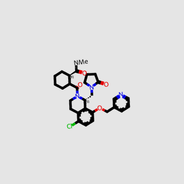 CNC(=O)[C@@H]1CCCCC1C(=O)N1CCc2c(Cl)ccc(OCc3cccnc3)c2[C@H]1CN1CCCC1=O